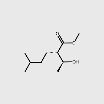 COC(=O)[C@@H](CCC(C)C)[C@H](C)O